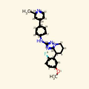 COc1ccc(F)c(C2CCCn3nc(Nc4ccc(-c5ccnc(C)c5)cc4)nc32)c1